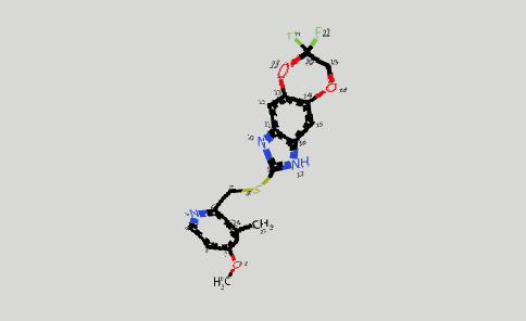 COc1ccnc(CSc2nc3cc4c(cc3[nH]2)OCC(F)(F)O4)c1C